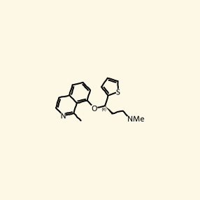 CNCC[C@@H](Oc1cccc2ccnc(C)c12)c1cccs1